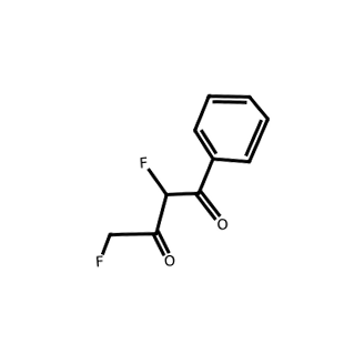 O=C(CF)C(F)C(=O)c1ccccc1